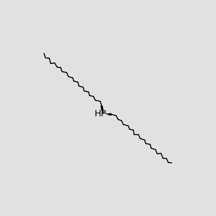 CCCCCCCCCCCCCCCCCCCCCC#CPC#CCCCCCCCCCCCCCCCCCCCCC